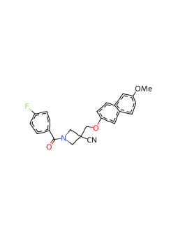 COc1ccc2cc(OCC3(C#N)CN(C(=O)c4ccc(F)cc4)C3)ccc2c1